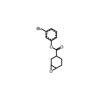 CCC(C)c1cccc(OC(=O)C2CCC3OC3C2)c1